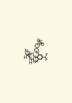 CN1C[C@@H]2[C@H](C1)[C@H]2Nc1ncc2cc(C(F)F)cc(N3CCC4(CCN(S(C)(=O)=O)C4)C3)c2n1